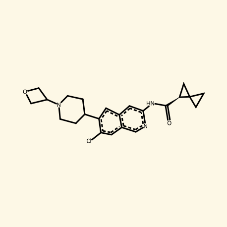 O=C(Nc1cc2cc(C3CCN(C4COC4)CC3)c(Cl)cc2cn1)[C@H]1CC12CC2